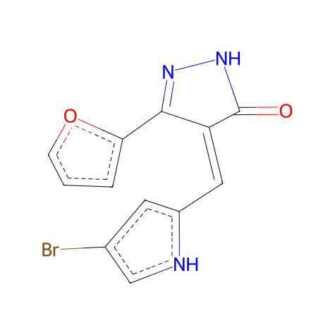 O=C1NN=C(c2ccco2)C1=Cc1cc(Br)c[nH]1